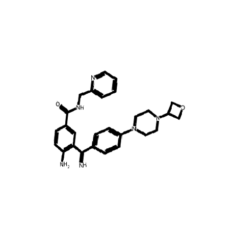 N=C(c1ccc(N2CCN(C3COC3)CC2)cc1)c1cc(C(=O)NCc2ccccn2)ccc1N